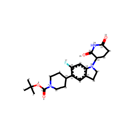 CC(C)(C)OC(=O)N1CCC(c2cc3c(cc2F)N(C2CCC(=O)NC2=O)CC3)CC1